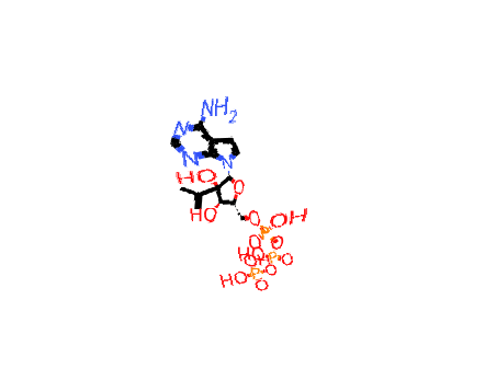 C=C(C)[C@@]1(O)[C@H](O)[C@@H](COP(=O)(O)OP(=O)(O)OP(=O)(O)O)O[C@H]1n1ccc2c(N)ncnc21